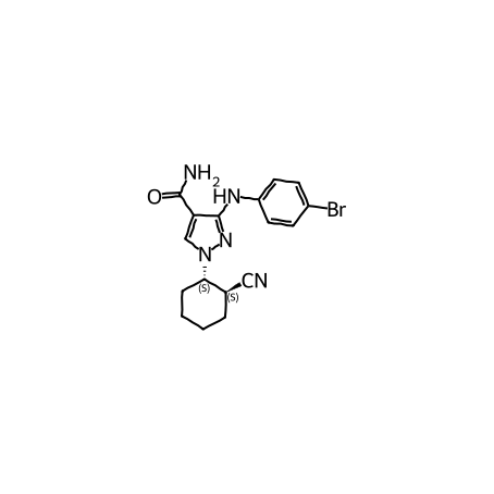 N#C[C@H]1CCCC[C@@H]1n1cc(C(N)=O)c(Nc2ccc(Br)cc2)n1